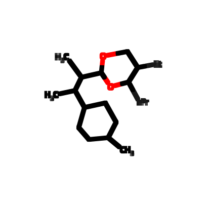 CCCC1OC(C(C)C(C)C2CCC(C)CC2)OCC1CC